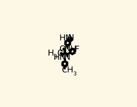 CC1=C(C(=O)Nc2ccc3[nH]ncc3c2)C(c2ccc(F)cc2)N=C(c2ccc(C)cc2)N1